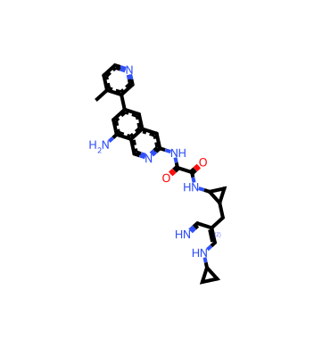 Cc1ccncc1-c1cc(N)c2cnc(NC(=O)C(=O)NC3CC3C/C(C=N)=C/NC3CC3)cc2c1